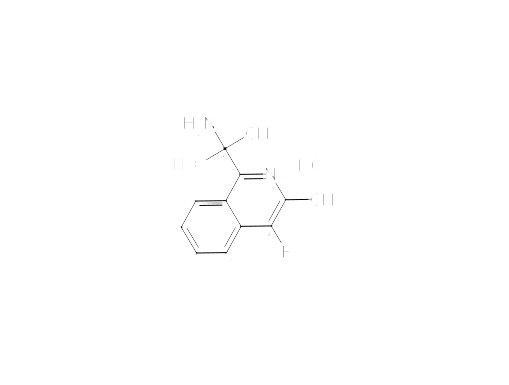 Cc1nc(C(C)(C)N)c2ccccc2c1F.Cl